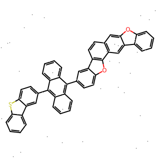 c1ccc2c(c1)oc1cc3ccc4c5cc(-c6c7ccccc7c(-c7ccc8sc9ccccc9c8c7)c7ccccc67)ccc5oc4c3cc12